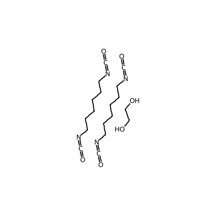 O=C=NCCCCCCN=C=O.O=C=NCCCCCCN=C=O.OCCO